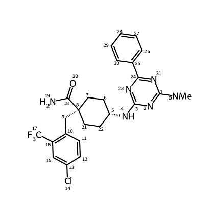 CNc1nc(N[C@H]2CC[C@](Cc3ccc(Cl)cc3C(F)(F)F)(C(N)=O)CC2)nc(-c2ccccc2)n1